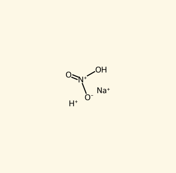 O=[N+]([O-])O.[H+].[Na+]